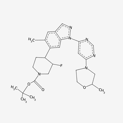 Cc1cc2cnn(-c3cc(N4CCOC(C)C4)ncn3)c2cc1C1CCN(C(=O)OC(C)(C)C)CC1F